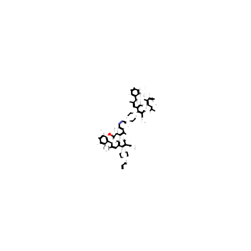 C=CC(=O)N1CCN(c2c(C#N)c(=O)n(-c3c(C)cc(/C=C\C(=O)N4CCN(c5c(C#N)c(=O)n(-c6c(C)ccnc6C(C)C)c6nc(-c7c(N)c(Cl)c(F)c(F)c7F)c(Cl)cc56)CC4)nc3C(C)C)c3nc(-c4c(Cl)c(N)c(F)c(F)c4Cl)c(Cl)cc23)CC1